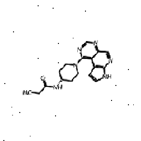 N#CCC(=O)NC1CCN(c2ncnc3cnc4[nH]ccc4c23)CC1